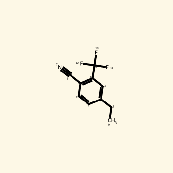 CCc1ccc(C#N)c(C(F)(F)F)c1